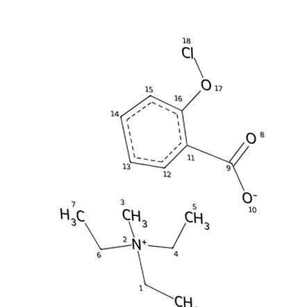 CC[N+](C)(CC)CC.O=C([O-])c1ccccc1OCl